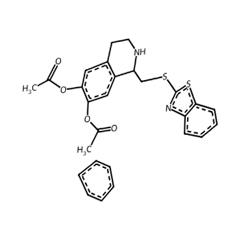 CC(=O)Oc1cc2c(cc1OC(C)=O)C(CSc1nc3ccccc3s1)NCC2.c1ccccc1